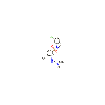 Cc1ccc(S(=O)(=O)n2ccc3ccc(Cl)cc32)cc1NCCN(C)C